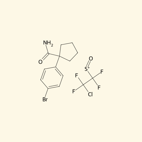 NC(=O)C1(c2ccc(Br)cc2)CCCC1.O=[S+]C(F)(F)C(F)(F)Cl